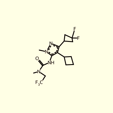 CN(CC(F)(F)F)C(=O)Nc1c(C2CCC2)c(C2CC(F)(F)C2)nn1C